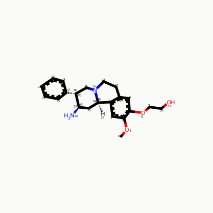 COc1cc2c(cc1OCCO)CCN1C[C@@H](c3ccccc3)[C@H](N)C[C@H]21